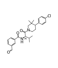 CC(C)[C@@H](NC(=O)c1cccc(C=O)c1)C(=O)N1CCC(c2ccc(Cl)cc2)C(C)(C)C1